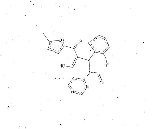 Cc1ccc(C(=O)/C(=C\O)C(c2ccccc2F)N(C=O)c2ccncn2)o1